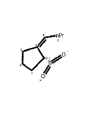 CCCC=C1CCCC1.[O]=[Ti]=[O]